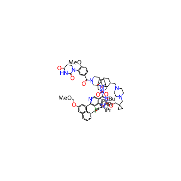 COCOc1cc(-c2ncc3c(N4CC5CCC(C4)N5C(=O)OC(C)(C)C)nc(OCC4(CN5CCN(CC6CCC7(CC6)CCN(C(=O)c6ccc(OC)c(N8CCC(=O)NC8=O)c6)CC7)CC5)CC4)nc3c2F)c2c(C#C[Si](C(C)C)(C(C)C)C(C)C)cccc2c1